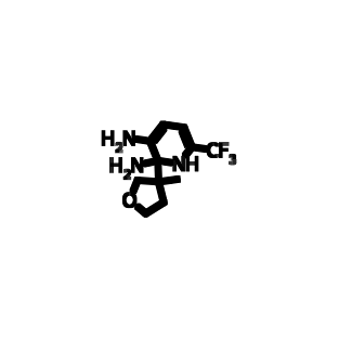 CC1(C2(N)NC(C(F)(F)F)=CC=C2N)CCOC1